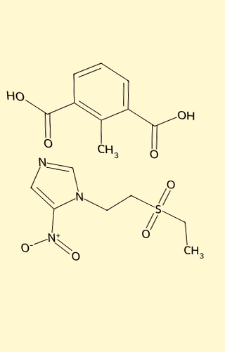 CCS(=O)(=O)CCn1cncc1[N+](=O)[O-].Cc1c(C(=O)O)cccc1C(=O)O